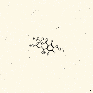 COc1c(F)c(F)c(C(O)CCCO)c(C(=O)OS(C)(=O)=O)c1F